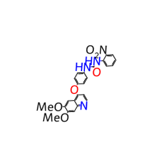 COc1cc2nccc(Oc3ccc(NC(=O)Nc4ccccc4[N+](=O)[O-])cc3)c2cc1OC